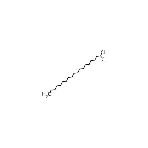 CCCCCCCCCCCCCCCCCCC(Cl)Cl